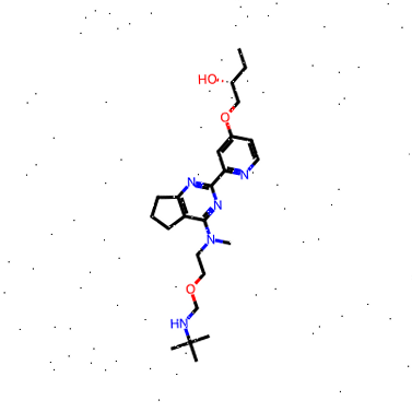 CC[C@@H](O)COc1ccnc(-c2nc3c(c(N(C)CCOCNC(C)(C)C)n2)CCC3)c1